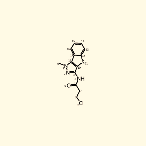 Cn1nc(NC(=O)CCCl)c2sc3ccccc3c21